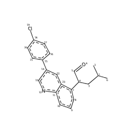 CC(C)CC(C=O)c1cccc2ncc(-c3ccc(Cl)cc3)cc12